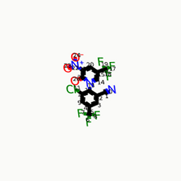 N#Cc1cc(C(F)(F)F)cc(Cl)c1-n1cc(C(F)(F)F)cc([N+](=O)[O-])c1=O